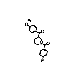 CC(C)Oc1ccc(C(=O)C2CCCN(C(=O)c3ccc(F)cc3)C2)cc1